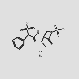 CO[C@@]1(NC(=O)C(c2ccccc2)S(=O)(=O)[O-])CN(S(=O)(=O)[O-])C1=O.[Na+].[Na+]